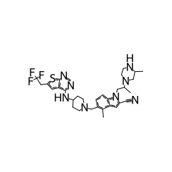 Cc1c(CN2CCC(Nc3ncnc4sc(CC(F)(F)F)cc34)CC2)ccc2c1cc(C#N)n2CC(C)N1CCNC(C)C1